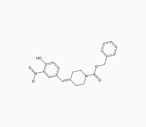 O=C(OCc1ccccc1)N1CCC(=Cc2ccc(O)c([N+](=O)[O-])c2)CC1